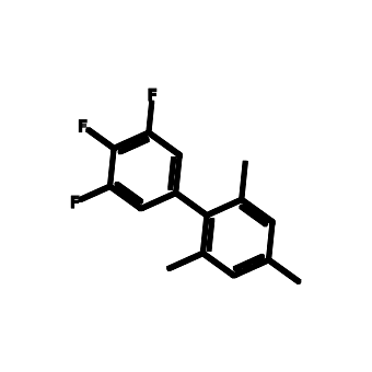 Cc1cc(C)c(-c2cc(F)c(F)c(F)c2)c(C)c1